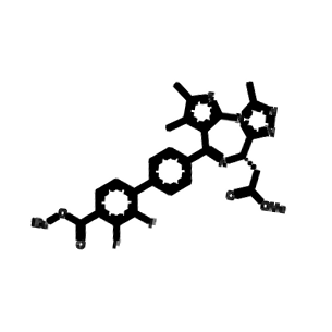 COC(=O)C[C@@H]1N=C(c2ccc(-c3ccc(C(=O)OC(C)(C)C)c(F)c3F)cc2)c2c(sc(C)c2C)-n2c(C)nnc21